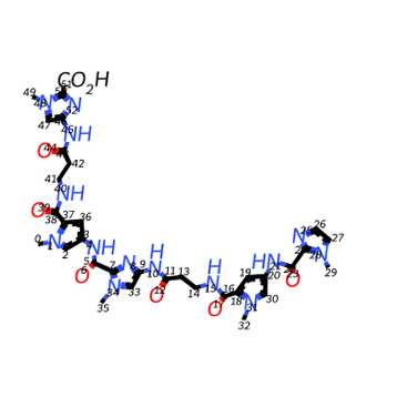 Cn1cc(NC(=O)c2nc(NC(=O)CCNC(=O)c3cc(NC(=O)c4nccn4C)cn3C)cn2C)cc1C(=O)NCCC(=O)Nc1cn(C)c(C(=O)O)n1